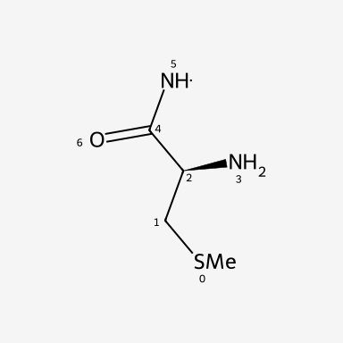 CSC[C@H](N)C([NH])=O